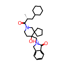 C[C@H](CC1CCCCC1)C(=O)N1CCC(O)(CN2Cc3ccccc3C2=O)C2(CCCC2)C1